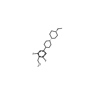 CC[C@H]1CC[C@H](C2CCC(c3cc(F)c(COC)c(F)c3)CC2)CC1